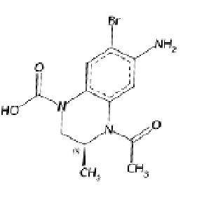 CC(=O)N1c2cc(N)c(Br)cc2N(C(=O)O)C[C@@H]1C